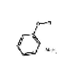 ClOc1ccccc1.[MgH2]